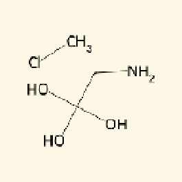 CCl.NCC(O)(O)O